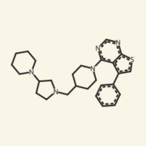 c1ccc(-c2csc3ncnc(N4CCC(CN5CCC(N6CCCCC6)C5)CC4)c23)cc1